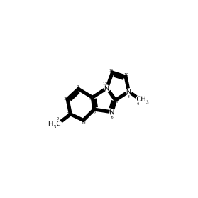 CC1C=Cc2c(nc3n(C)ccn23)C1